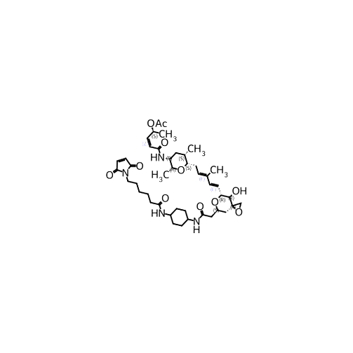 CC(=O)O[C@@H](C)/C=C\C(=O)N[C@@H]1C[C@H](C)[C@H](C/C=C(C)/C=C/[C@H]2O[C@H](CC(=O)NC3CCC(NC(=O)CCCCCN4C(=O)C=CC4=O)CC3)C[C@@]3(CO3)[C@@H]2O)O[C@@H]1C